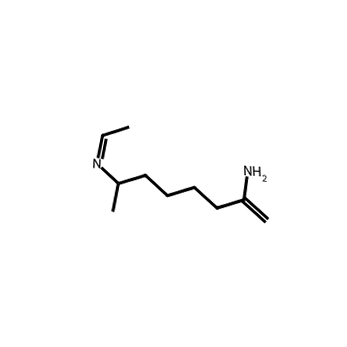 C=C(N)CCCCC(C)/N=C\C